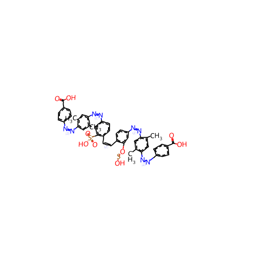 Cc1cc(/N=N\c2ccc(/C=C\c3ccc(/N=N\c4cc(C)c(/N=N\c5ccc(C(=O)O)cc5)cc4C)cc3S(=O)(=O)O)c(OSO)c2)c(C)cc1/N=N\c1ccc(C(=O)O)cc1